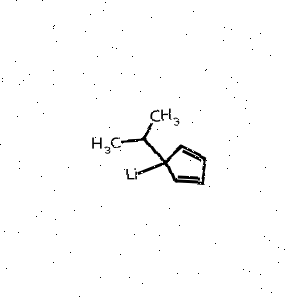 [Li][C]1(C(C)C)C=CC=C1